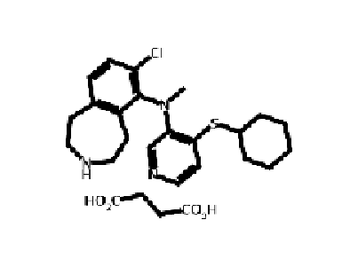 CN(c1cnccc1SC1CCCCC1)c1c(Cl)ccc2c1CCNCC2.O=C(O)CCC(=O)O